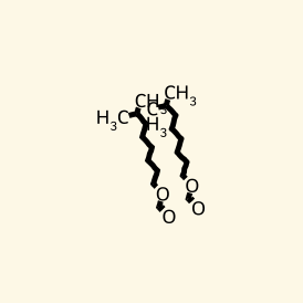 CC(C)CCCCCCOC=O.CC(C)CCCCCCOC=O